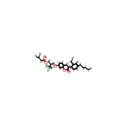 CCCCCc1ccc(-c2cc3ccc(OCC(COC(=O)CC(C)C)C(F)(F)F)cc3oc2=O)c(CC)c1